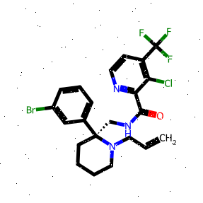 C=CCN1CCCC[C@@]1(CNC(=O)c1nccc(C(F)(F)F)c1Cl)c1cccc(Br)c1